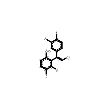 N#C/C=C(\c1ccc(F)c(Cl)c1)c1c(C=O)ccc(F)c1Cl